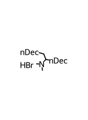 Br.CCCCCCCCCCCC(CCCCCCCCCC)N(C)C